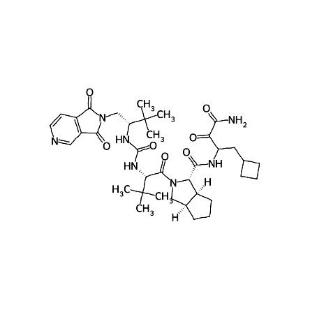 CC(C)(C)[C@H](NC(=O)N[C@H](CN1C(=O)c2ccncc2C1=O)C(C)(C)C)C(=O)N1C[C@@H]2CCC[C@@H]2[C@H]1C(=O)NC(CC1CCC1)C(=O)C(N)=O